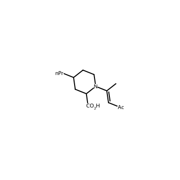 CCCC1CCN(C(C)=CC(C)=O)C(C(=O)O)C1